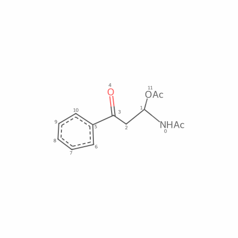 CC(=O)NC(CC(=O)c1ccccc1)OC(C)=O